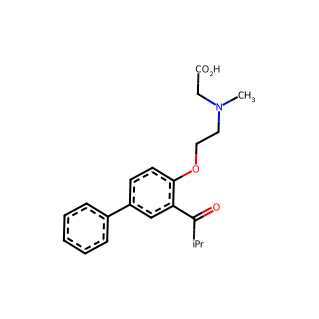 CC(C)C(=O)c1cc(-c2ccccc2)ccc1OCCN(C)CC(=O)O